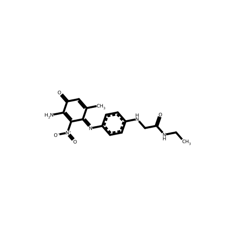 CCNC(=O)CNc1ccc(N=C2C(C)=CC(=O)C(N)=C2[N+](=O)[O-])cc1